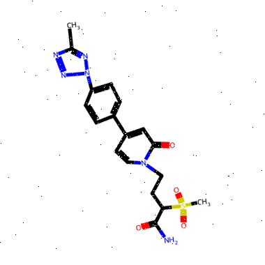 Cc1nnn(-c2ccc(-c3ccn(CCC(C(N)=O)S(C)(=O)=O)c(=O)c3)cc2)n1